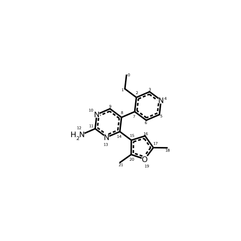 CCc1cnccc1-c1cnc(N)nc1-c1cc(C)oc1C